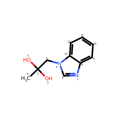 CC(O)(O)Cn1cnc2ccccc21